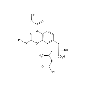 CC(C)OC(=O)Oc1ccc(CC(N)(C[C@H](C)OC(=O)C(C)C)C(=O)O)cc1OC(=O)OC(C)C